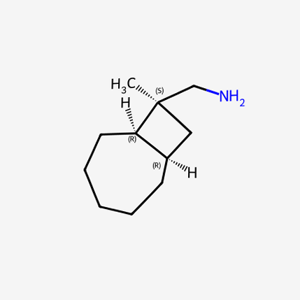 C[C@]1(CN)C[C@H]2CCCCC[C@H]21